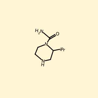 CC(C)C1CNCCN1C(N)=O